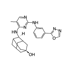 Cc1cnc(Nc2cccc(-c3nnco3)c2)nc1N[C@H]1C2CC3CC1C[C@@](O)(C3)C2